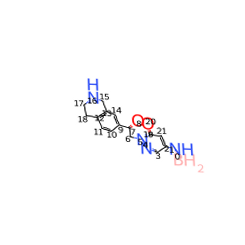 BNc1cnn(CC(=O)c2ccc3c(c2)CNCC3)c(=O)c1